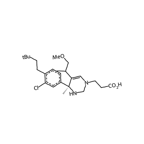 COCC(C)C1=CN(CCC(=O)O)CN[C@@]1(C)c1ccc(CCC(C)(C)C)c(Cl)c1